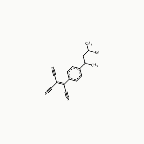 CC(S)CN(C)c1ccc(C(C#N)=C(C#N)C#N)cc1